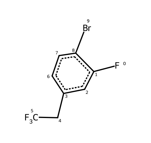 Fc1cc(CC(F)(F)F)ccc1Br